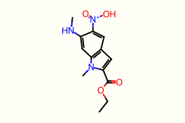 CCOC(=O)c1cc2cc([N+](=O)O)c(NC)cc2n1C